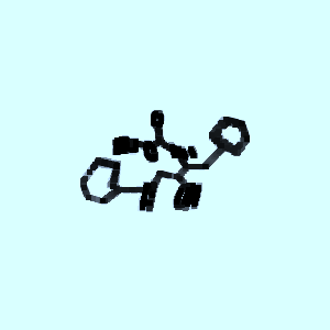 CC(C)(C)OC(=O)NC(Cc1ccccc1)C(O)CNC1CCCCC1